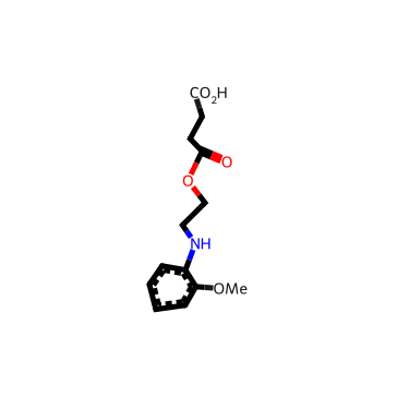 COc1ccccc1NCCOC(=O)CCC(=O)O